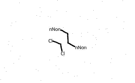 CCCCCCCCCCCCCCCCCCCC.ClCCl